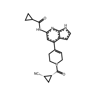 N#C[C@H]1C[C@H]1C(=O)N1CC=C(c2cc(NC(=O)C3CC3)nc3[nH]ccc23)CC1